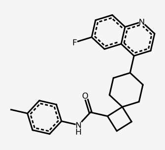 Cc1ccc(NC(=O)C2CCC23CCC(c2ccnc4ccc(F)cc24)CC3)cc1